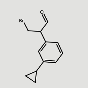 O=CC(CBr)c1cccc(C2CC2)c1